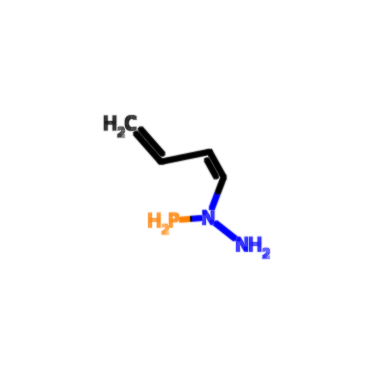 C=C/C=C\N(N)P